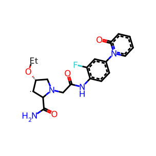 CCO[C@H]1[CH]C(C(N)=O)N(CC(=O)Nc2ccc(-n3ccccc3=O)cc2F)C1